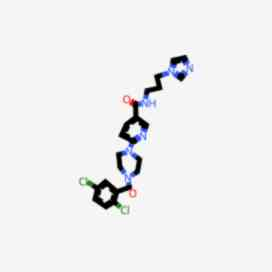 O=C(NCCCn1ccnc1)c1ccc(N2CCN(C(=O)c3cc(Cl)ccc3Cl)CC2)nc1